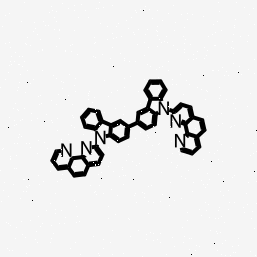 c1cnc2c(c1)ccc1ccc(-n3c4ccccc4c4cc(-c5ccc6c(c5)c5ccccc5n6-c5ccc6ccc7cccnc7c6n5)ccc43)nc12